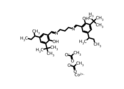 CC(=O)[O-].CC(=O)[O-].CCC(C)c1cc(C=NCCCN=Cc2cc(C(C)CC)cc(C(C)(C)C)c2O)c(O)c(C(C)(C)C)c1.[Co+2]